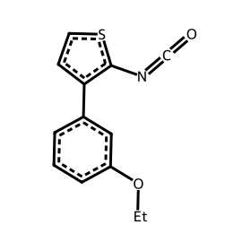 CCOc1cccc(-c2ccsc2N=C=O)c1